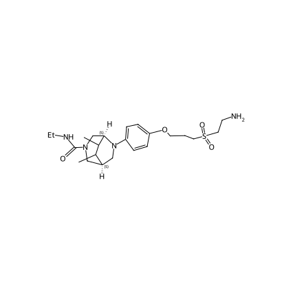 CCNC(=O)N1C[C@@H]2CN(c3ccc(OCCCS(=O)(=O)CCN)cc3)[C@H](C1)C(C)C2C